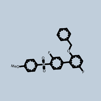 COc1ccc(S(=O)(=O)c2ccc(-c3cc(F)ccc3OCc3ccccc3)cc2F)cc1